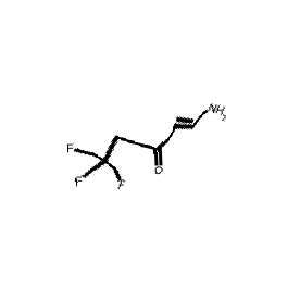 N/C=C/C(=O)CC(F)(F)F